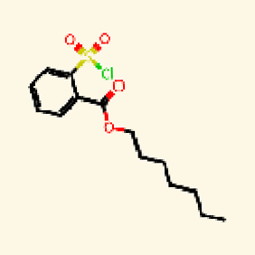 CCCCCCCOC(=O)c1ccccc1S(=O)(=O)Cl